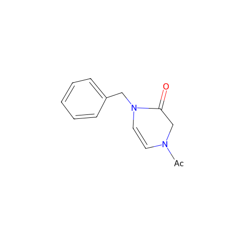 CC(=O)N1C=CN(Cc2ccccc2)C(=O)C1